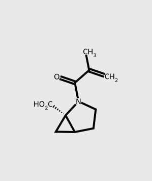 C=C(C)C(=O)N1CCC2C[C@]21C(=O)O